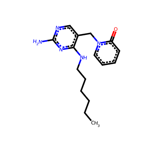 CCCCCCNc1nc(N)ncc1Cn1ccccc1=O